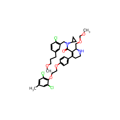 COCCCc1ccc(Cl)c(CN(C(=O)C2=C(c3ccc(OCCOc4c(Cl)cc(C)cc4Cl)cc3)CCNC2COCOC)C2CC2)c1